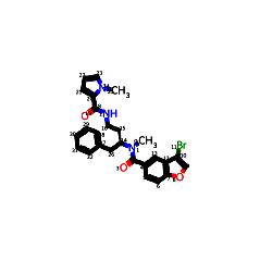 CN(C(=O)c1ccc2occ(Br)c2c1)[C@H](CCNC(=O)c1cccn1C)Cc1ccccc1